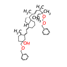 C=C1CC[C@@](O)(COCc2ccccc2)C/C1=C/C=C1\CCC[C@]2(C)[C@@H]([C@H](C)/C=C/[C@H](C)C(C)(C)OCOCc3ccccc3)CC[C@@H]12